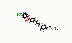 CCCCC[C@H]1CC[C@H](C=CCCc2ccc(C(=O)Oc3ccc(Br)cc3)cc2)CC1